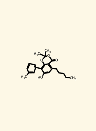 CCCCCc1cc(O)c(-c2cccc(C)c2)c2c1C(=O)OC(C)(C)O2